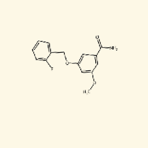 COc1cc(OCc2ccccc2F)cc(C(N)=O)c1